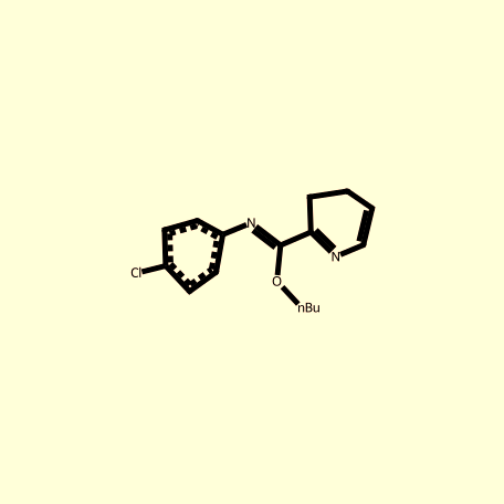 CCCCOC(=Nc1ccc(Cl)cc1)C1=NC=CCC1